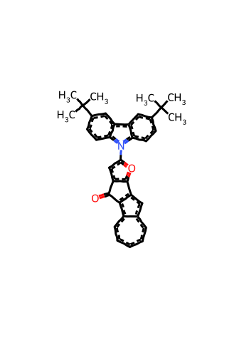 CC(C)(C)c1ccc2c(c1)c1cc(C(C)(C)C)ccc1n2-c1cc2c(o1)-c1cc3cccccc-3c1C2=O